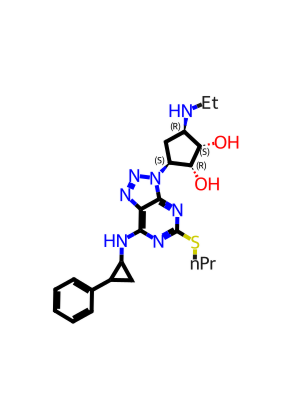 CCCSc1nc(NC2CC2c2ccccc2)c2nnn([C@H]3C[C@@H](NCC)[C@H](O)[C@@H]3O)c2n1